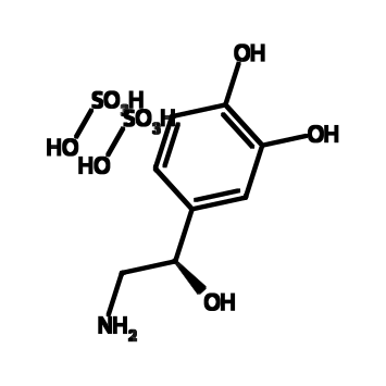 NC[C@H](O)c1ccc(O)c(O)c1.O=S(=O)(O)O.O=S(=O)(O)O